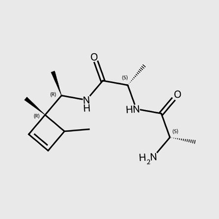 CC1C=C[C@]1(C)[C@@H](C)NC(=O)[C@H](C)NC(=O)[C@H](C)N